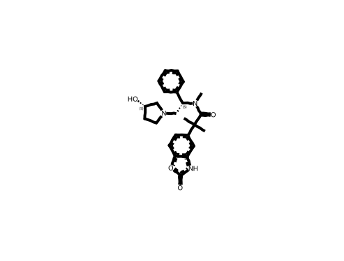 CN(C(=O)C(C)(C)c1ccc2oc(=O)[nH]c2c1)[C@H](CN1CC[C@H](O)C1)c1ccccc1